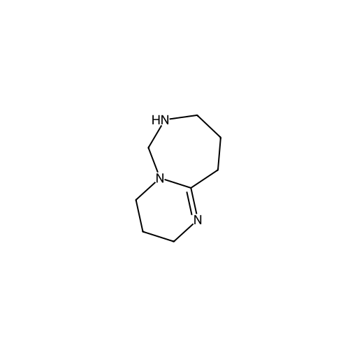 C1CNCN2CCCN=C2C1